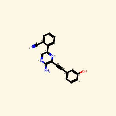 N#Cc1ccccc1-c1cnc(N)c(C#Cc2cccc(O)c2)n1